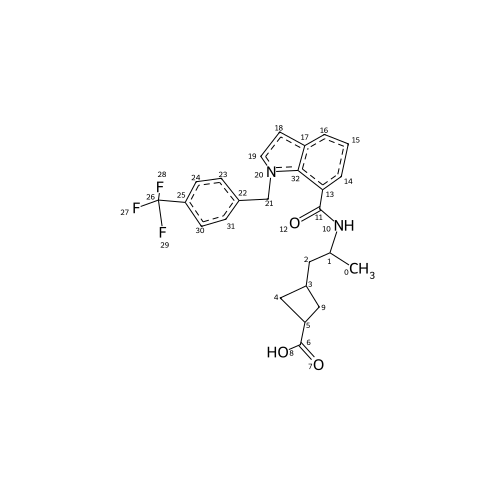 CC(CC1CC(C(=O)O)C1)NC(=O)c1cccc2ccn(Cc3ccc(C(F)(F)F)cc3)c12